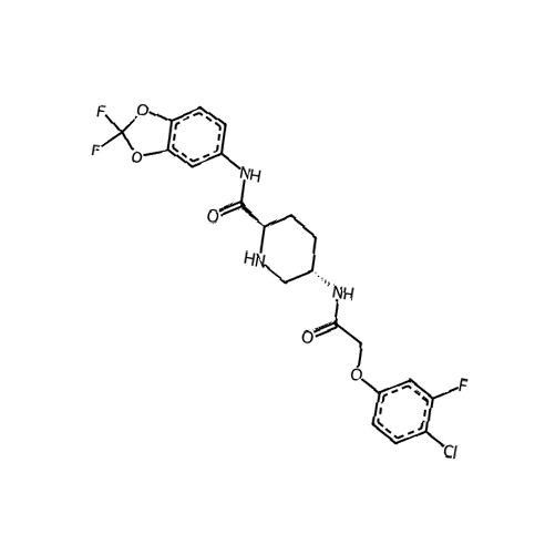 O=C(COc1ccc(Cl)c(F)c1)N[C@H]1CC[C@H](C(=O)Nc2ccc3c(c2)OC(F)(F)O3)NC1